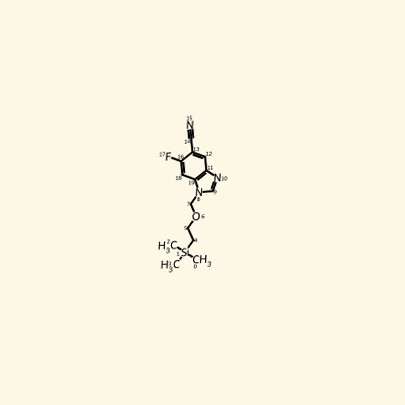 C[Si](C)(C)CCOCn1cnc2cc(C#N)c(F)cc21